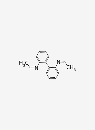 C/C=N\c1ccccc1-c1ccccc1/N=C\C